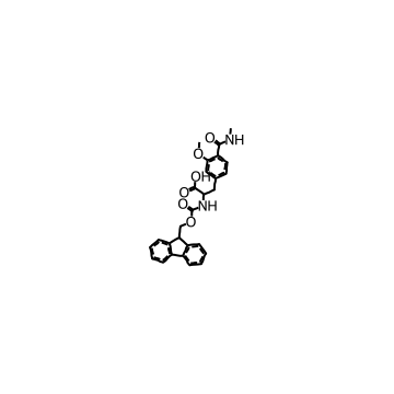 CNC(=O)c1ccc(CC(NC(=O)OCC2c3ccccc3-c3ccccc32)C(=O)O)cc1OC